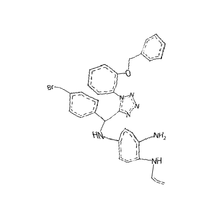 C=CNc1ccc(NC(c2ccc(Br)cc2)c2nnnn2-c2ccccc2OCc2ccccc2)cc1N